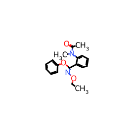 CCON=C(Oc1ccccc1)c1ccccc1N(C)C(C)=O